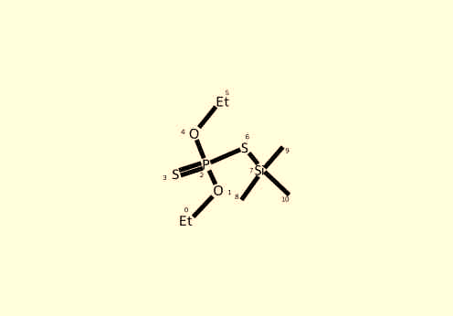 CCOP(=S)(OCC)S[Si](C)(C)C